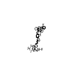 N=C(N)NOCCCOc1ccc(C[C@H](NS(=O)(=O)c2cccc(F)c2)C(=O)O)cc1